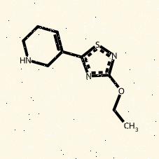 CCOc1nsc(C2=CCCNC2)n1